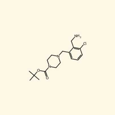 CC(C)(C)OC(=O)N1CCN(Cc2cccc(Cl)c2CN)CC1